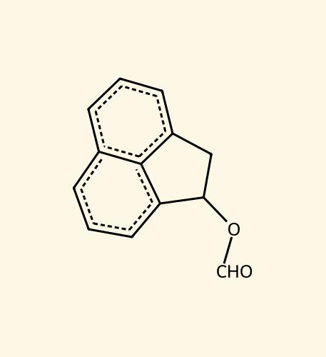 O=COC1Cc2cccc3cccc1c23